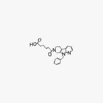 O=C(O)CCCCC(=O)N1CCc2c(n(Cc3ccccc3)c3ncccc23)C1